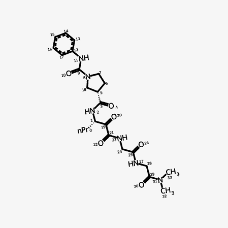 CCC[C@H](NC(=O)[C@H]1CCN(C(=O)Nc2ccccc2)C1)C(=O)C(=O)NCC(=O)NCC(=O)N(C)C